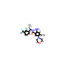 C[C@@H](NC(=O)c1cc(N2CCOCC2)c(C#N)cc1N)c1cccc(C(F)F)c1F